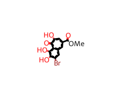 COC(=O)c1cc(O)c(=O)c2c(O)c(O)c(Br)cc2c1